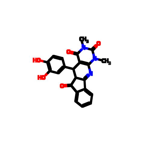 Cn1c2c(c(=O)n(C)c1=O)C(c1ccc(O)c(O)c1)C1C(=O)c3ccccc3C1=N2